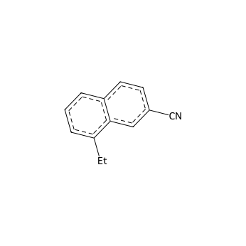 CCc1cccc2ccc(C#N)cc12